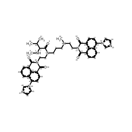 CNC(C(=O)N(CCCN(C)CCN1C(=O)c2cccc3c(-n4ccnc4)ccc(c23)C1=O)CCN1C(=O)c2cccc3c(-n4ccnc4)ccc(c23)C1=O)C(C)C